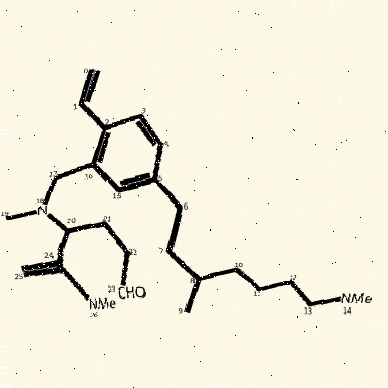 C=Cc1ccc(CCC(C)CCCCNC)cc1CN(C)C(CCC=O)C(=C)NC